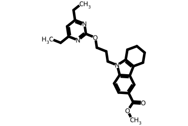 CCc1cc(CC)nc(OCCCn2c3c(c4cc(C(=O)OC)ccc42)CCCC3)n1